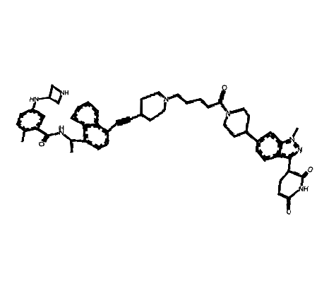 Cc1ccc(NC2CNC2)cc1C(=O)NC(C)c1ccc(C#CC2CCN(CCCCC(=O)N3CCC(c4ccc5c(C6CCC(=O)NC6=O)nn(C)c5c4)CC3)CC2)c2ccccc12